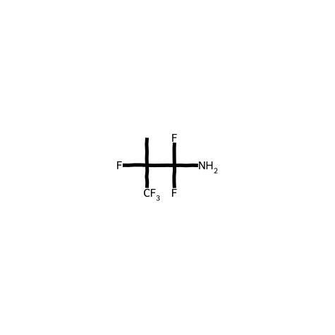 CC(F)(C(N)(F)F)C(F)(F)F